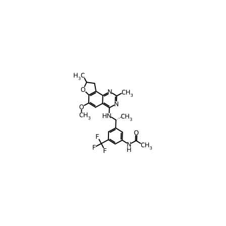 COc1cc2c(N[C@H](C)c3cc(NC(C)=O)cc(C(F)(F)F)c3)nc(C)nc2c2c1OC(C)C2